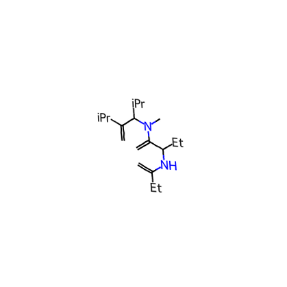 C=C(CC)NC(CC)C(=C)N(C)C(C(=C)C(C)C)C(C)C